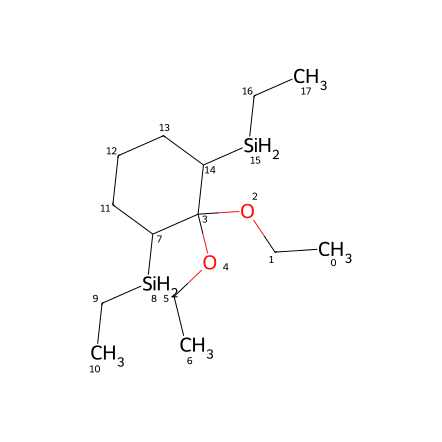 CCOC1(OCC)C([SiH2]CC)CCCC1[SiH2]CC